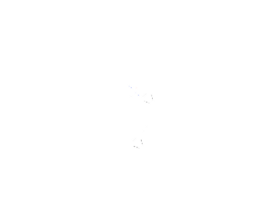 NC(=O)N(S)c1cccc(OCCCCCOc2ccc(C3CCCCC3)cc2)c1